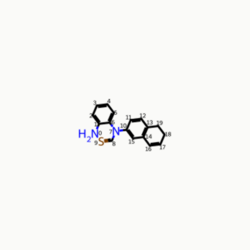 Nc1ccccc1N(C=S)c1ccc2c(c1)C=CCC2